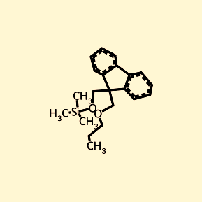 CCCOCC1(CO[Si](C)(C)C)c2ccccc2-c2ccccc21